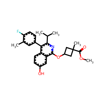 COC(=O)C1(C)CC(Oc2nc(C(C)C)c(-c3ccc(F)c(C)c3)c3ccc(O)cc23)C1